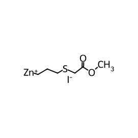 COC(=O)CSCC[CH2][Zn+].[I-]